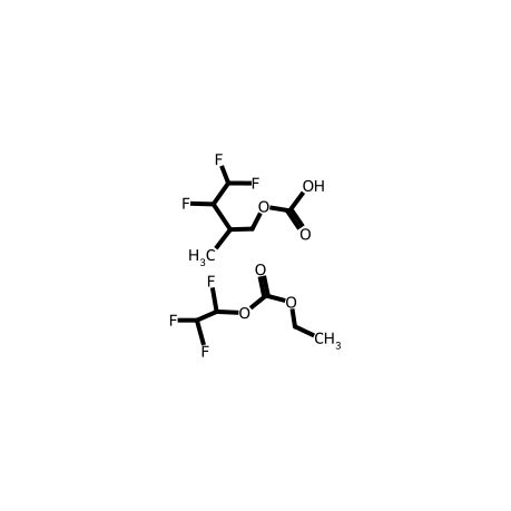 CC(COC(=O)O)C(F)C(F)F.CCOC(=O)OC(F)C(F)F